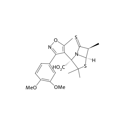 COc1ccc(-c2noc(C)c2[C@@]2(C(=O)O)N3C(=S)[C@@H](C)[C@H]3SC2(C)C)cc1OC